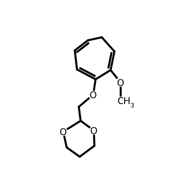 COC1=CCC=CC=C1OCC1OCCCO1